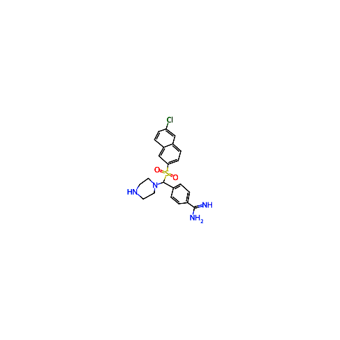 N=C(N)c1ccc(C(N2CCNCC2)S(=O)(=O)c2ccc3cc(Cl)ccc3c2)cc1